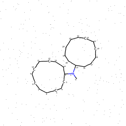 CN(C1CCCCCCCCCCCC1)C1CCCCCCCCCCC1